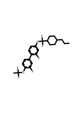 CCCC1CCC(C(F)(F)Oc2ccc(-c3ccc(OC(C)(F)F)c(F)c3)c(F)c2)CC1